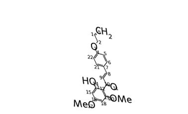 C=CCOc1ccc(C=CC(=O)c2c(O)cc(OC)cc2OC)cc1